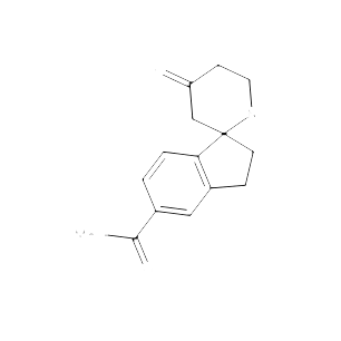 C=C1CCNC2(CCc3cc(C(=O)OC)ccc32)C1